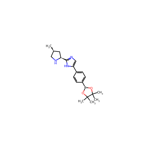 C[C@@H]1CN[C@H](c2ncc(-c3ccc(B4OC(C)(C)C(C)(C)O4)cc3)[nH]2)C1